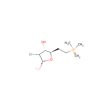 B[C@@H]1O[C@H](CCP(=C)(C)C)[C@@H](O)C1Cl